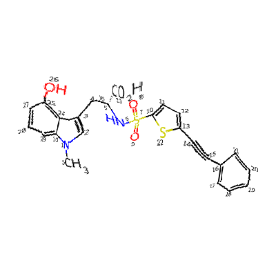 Cn1cc(C[C@@H](NS(=O)(=O)c2ccc(C#Cc3ccccc3)s2)C(=O)O)c2c(O)cccc21